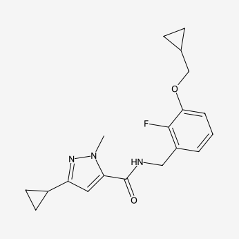 Cn1nc(C2CC2)cc1C(=O)NCc1cccc(OCC2CC2)c1F